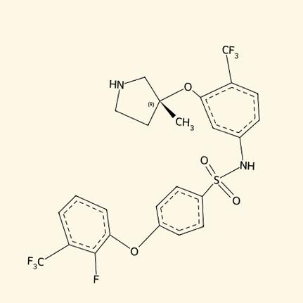 C[C@@]1(Oc2cc(NS(=O)(=O)c3ccc(Oc4cccc(C(F)(F)F)c4F)cc3)ccc2C(F)(F)F)CCNC1